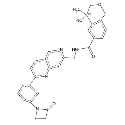 C[C@@]1(C#N)COCc2ccc(C(=O)NCc3cc4nc(-c5cccc(N6CCC6=O)c5)ccc4cn3)cc21